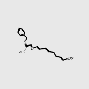 CCCCCCCCCCCCCCCCCCOC[C@H](C=O)OCc1ccccc1